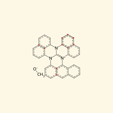 C[O-].c1ccc(N(C(N(c2ccccc2)c2ccccc2)=[N+](c2cccc3ccccc23)c2cccc3ccccc23)c2ccccc2)cc1